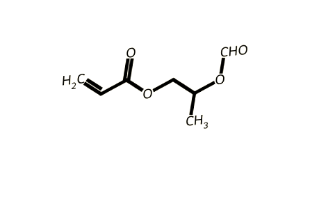 C=CC(=O)OCC(C)OC=O